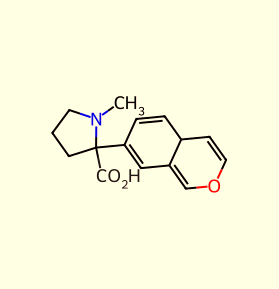 CN1CCCC1(C(=O)O)C1=CC2=COC=CC2C=C1